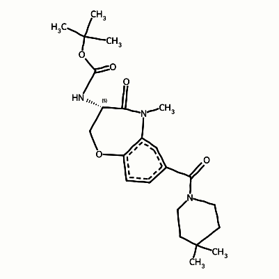 CN1C(=O)[C@@H](NC(=O)OC(C)(C)C)COc2ccc(C(=O)N3CCC(C)(C)CC3)cc21